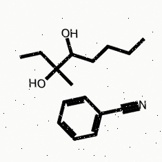 CCCCC(O)C(C)(O)CC.N#Cc1ccccc1